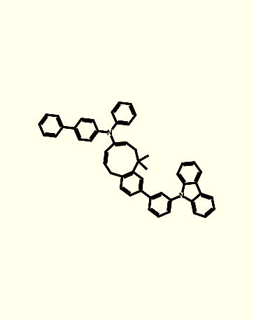 CC1(C)C/C=C(N(c2ccccc2)c2ccc(-c3ccccc3)cc2)\C=C/Cc2ccc(-c3cccc(-n4c5ccccc5c5ccccc54)c3)cc21